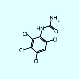 NC(=O)Nc1c(Cl)cc(Cl)c(Cl)c1Cl